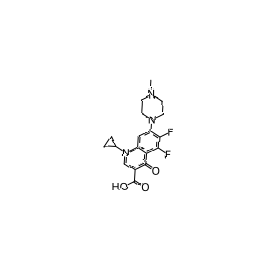 CN1CCN(c2cc3c(c(F)c2F)c(=O)c(C(=O)O)cn3C2CC2)CC1